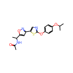 CC(=O)NC(C)c1cc(-c2cnc(Oc3ccc(OC(C)C)cc3)s2)no1